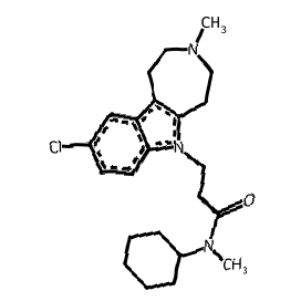 CN1CCc2c(n(CCC(=O)N(C)C3CCCCC3)c3ccc(Cl)cc23)CC1